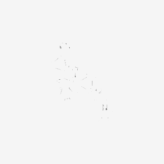 N#CCc1ccc(-c2sc3ccccc3c2C(=O)c2ccc(OCCN3CCCC3)cc2)cc1